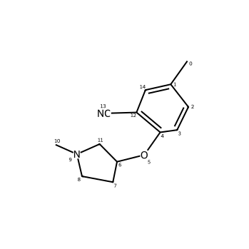 Cc1ccc(OC2CCN(C)C2)c(C#N)c1